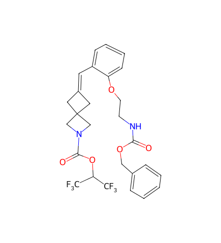 O=C(NCCOc1ccccc1C=C1CC2(C1)CN(C(=O)OC(C(F)(F)F)C(F)(F)F)C2)OCc1ccccc1